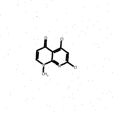 Cn1ccc(=O)c2c(Cl)cc(Cl)nc21